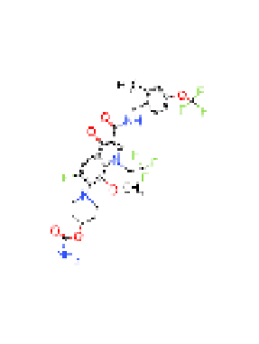 COc1c(N2CCC(OC(N)=O)CC2)c(F)cc2c(=O)c(C(=O)NCc3ccc(OC(F)(F)F)cc3C)cn(CC(F)(F)F)c12